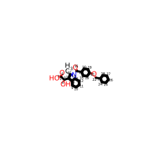 Cc1c(C(O)C(=O)O)c2ccccc2n1C(=O)c1ccc(OCc2ccccc2)cc1